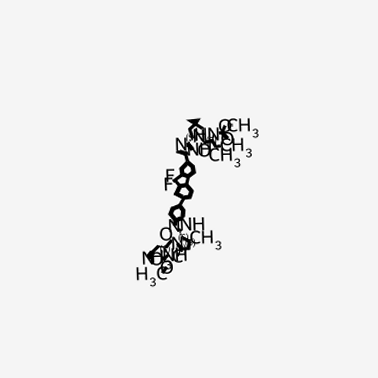 COC(=O)N[C@@H](CC#N)C(=O)N1[C@H](C)C[C@H](C)[C@H]1c1nc2ccc(-c3ccc4c(c3)C(F)(F)c3cc(-c5cnc([C@@H]6CC7(CC7)CN6C(=O)[C@@H](NC(=O)OC)C(C)C)[nH]5)ccc3-4)cc2[nH]1